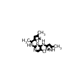 Cc1cc(C(C)Nc2ncc(Cl)c(Nc3cc(C)[nH]n3)n2)on1